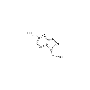 CC(C)(C)Cn1nnc2cc(C(=O)O)ccc21